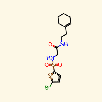 O=C(CNS(=O)(=O)c1ccc(Br)s1)NCCC1=CCCCC1